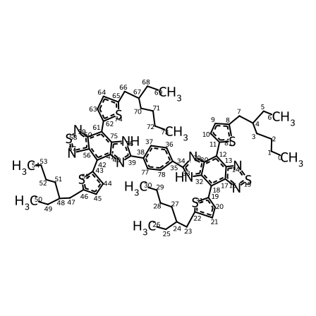 CCCCC(CC)Cc1ccc(-c2c3nsnc3c(-c3ccc(CC(CC)CCCC)s3)c3[nH]c(-c4ccc(-c5nc6c(-c7ccc(CC(CC)CCCC)s7)c7nsnc7c(-c7ccc(CC(CC)CCCC)s7)c6[nH]5)cc4)nc23)s1